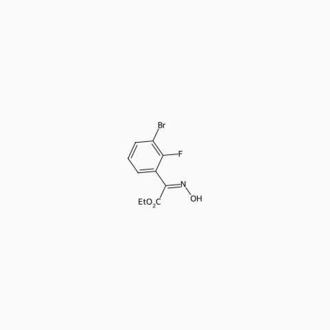 CCOC(=O)C(=NO)c1cccc(Br)c1F